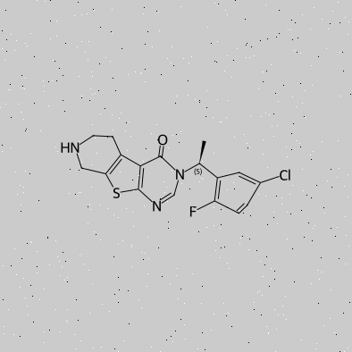 C[C@@H](c1cc(Cl)ccc1F)n1cnc2sc3c(c2c1=O)CCNC3